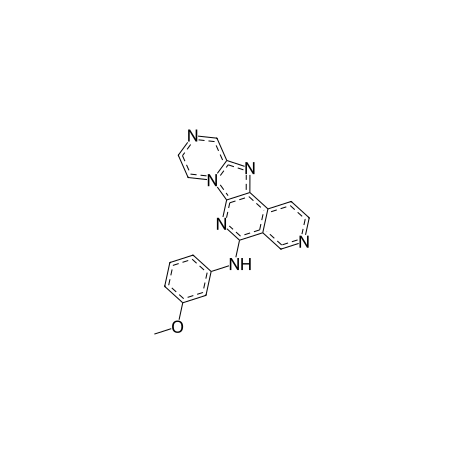 COc1cccc(Nc2nc3c(nc4cnccn43)c3ccncc23)c1